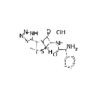 CC1(C)S[C@@H]2C(NC(=O)C(N)c3ccccc3)C(=O)N2C1c1nnn[nH]1.Cl